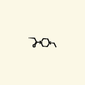 [CH2]CC(=O)N1CCN(CC)CC1